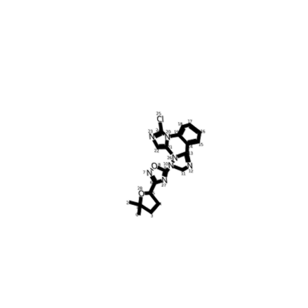 CC1(C)CCC(c2noc(N3CN=C4c5ccccc5-n5c(cnc5Cl)N43)n2)O1